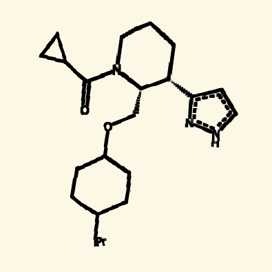 CC(C)C1CCC(OC[C@H]2[C@@H](c3cc[nH]n3)CCCN2C(=O)C2CC2)CC1